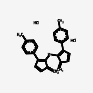 C=C1C=CC(c2ccc(C)cc2)=[C]1[Zr][C]1=C(c2ccc(C)cc2)C=CC1=C.Cl.Cl